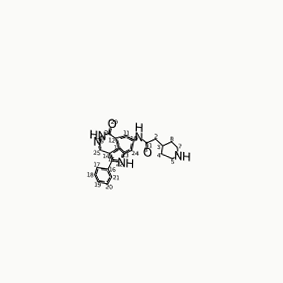 O=C(CC1CCNCC1)Nc1cc2c3c(c(-c4ccccc4)[nH]c3c1)C=NNC2=O